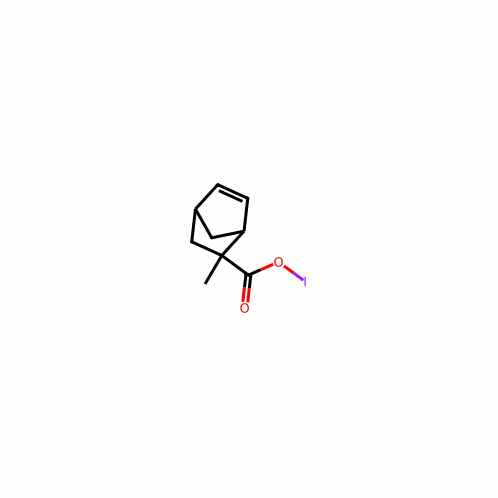 CC1(C(=O)OI)CC2C=CC1C2